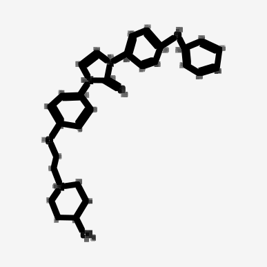 CC1CCN(CCOc2ccc(-n3ccn(-c4ccc(Oc5ccccc5)cc4)c3=O)cc2)CC1